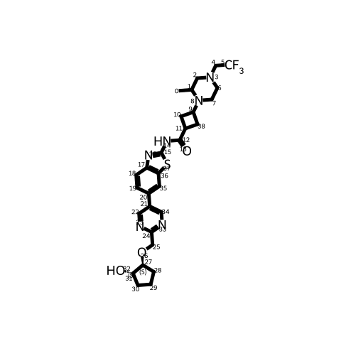 CC1CN(CC(F)(F)F)CCN1C1CC(C(=O)Nc2nc3ccc(-c4cnc(CO[C@H]5CCC[C@@H]5O)nc4)cc3s2)C1